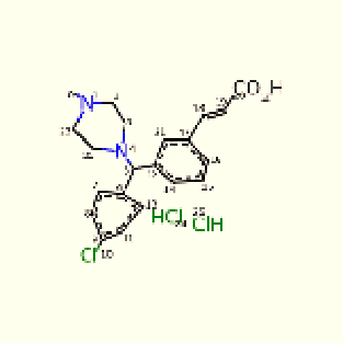 CN1CCN(C(c2ccc(Cl)cc2)c2cccc(C=CC(=O)O)c2)CC1.Cl.Cl